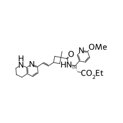 CCOC(=O)C[C@H](NC(=O)C1(C)CC(C=Cc2ccc3c(n2)NCCC3)C1)c1ccc(OC)nc1